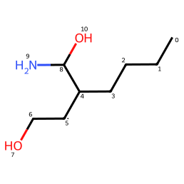 CCCCC([CH]CO)C(N)O